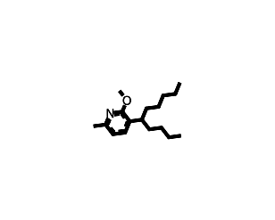 CCCCCC(CCCC)c1ccc(C)nc1OC